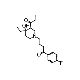 CCC(=O)[C@H]1CN(CCCC(=O)c2ccc(F)cc2)CC[C@]1(O)CC